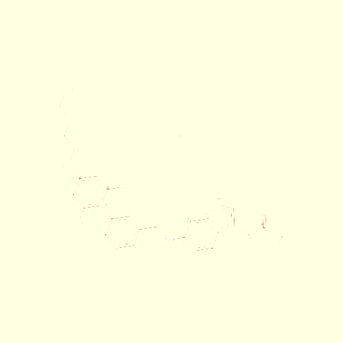 CCOCCOc1cc(C)c(-c2cccc(CNc3ccc4c(CC(=O)O)coc4c3)c2)c(C)c1.Cl